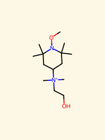 CON1C(C)(C)CC([N+](C)(C)CCO)CC1(C)C